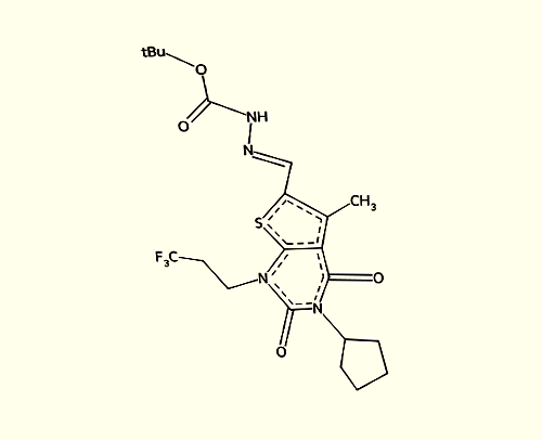 Cc1c(/C=N/NC(=O)OC(C)(C)C)sc2c1c(=O)n(C1CCCC1)c(=O)n2CCC(F)(F)F